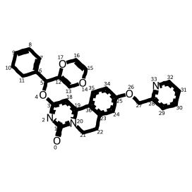 O=c1nc(OC(C2=CC=CCC2)C2=COC=CO2)cc2n1CCc1cc(OCc3ccccn3)ccc1-2